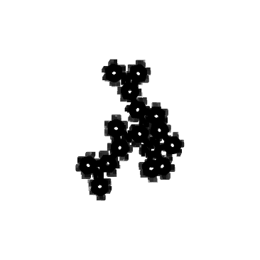 c1ccc(-c2ccccc2-c2nc(-c3cc(-n4c5ccccc5c5cc(-c6ccc7c(c6)c6ccccc6n7-c6ccccc6)ccc54)cc(-n4c5ccccc5c5cc(-c6ccc7c(c6)c6ccccc6n7-c6ccccc6)ccc54)c3)nc3c2-c2cccc4cccc-3c24)cc1